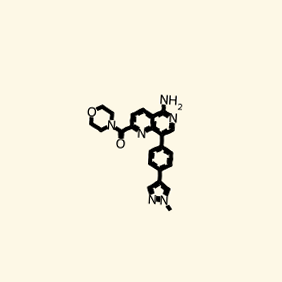 Cn1cc(-c2ccc(-c3cnc(N)c4ccc(C(=O)N5CCOCC5)nc34)cc2)cn1